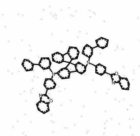 c1ccc(-c2cccc(N(c3ccc(-c4nc5ccccc5o4)cc3)c3ccc4c(c3)C3(c5ccccc5-c5ccccc53)c3cc(N(c5ccc(-c6nc7ccccc7o6)cc5)c5cccc(-c6ccccc6)c5)ccc3-4)c2)cc1